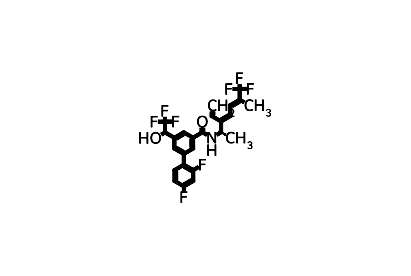 C=C/C(=C\C=C(/C)C(F)(F)F)[C@@H](C)NC(=O)c1cc(-c2ccc(F)cc2F)cc(C(O)C(F)(F)F)c1